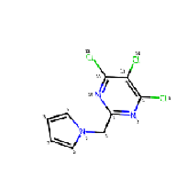 Clc1nc(Cn2cccc2)nc(Cl)c1Cl